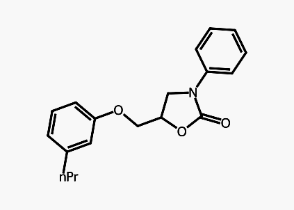 CCCc1cccc(OCC2CN(c3ccccc3)C(=O)O2)c1